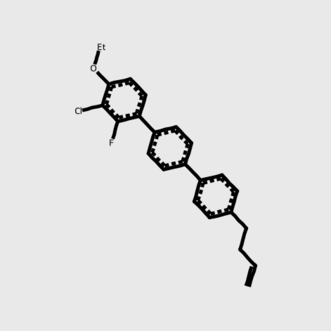 C=CCCc1ccc(-c2ccc(-c3ccc(OCC)c(Cl)c3F)cc2)cc1